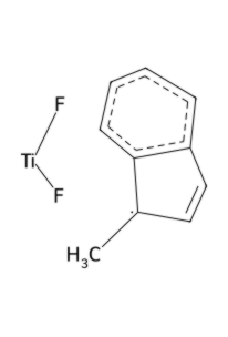 C[C]1C=Cc2ccccc21.[F][Ti][F]